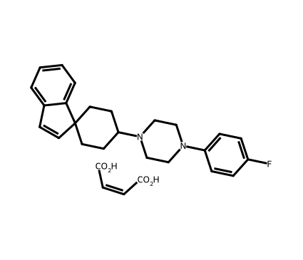 Fc1ccc(N2CCN(C3CCC4(C=Cc5ccccc54)CC3)CC2)cc1.O=C(O)/C=C\C(=O)O